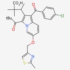 Cc1nc(COc2ccc3c(C(=O)c4ccc(Cl)cc4)c(C(C)C(C)(C)C(=O)O)c(C(=O)C(C)(C)C)n3c2)cs1